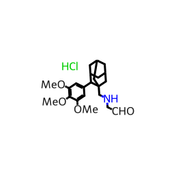 COc1cc(C2C3CC4CC(C3)CC2(CNCC=O)C4)cc(OC)c1OC.Cl